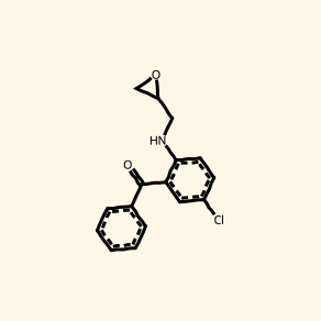 O=C(c1ccccc1)c1cc(Cl)ccc1NCC1CO1